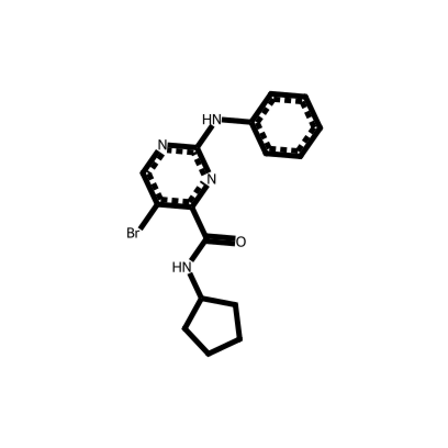 O=C(NC1CCCC1)c1nc(Nc2ccccc2)ncc1Br